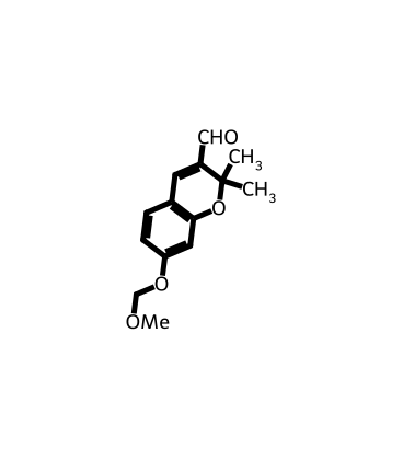 COCOc1ccc2c(c1)OC(C)(C)C(C=O)=C2